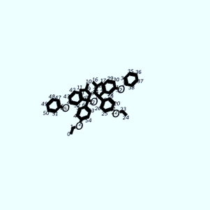 CCOc1ccc(C(CC(C)C)(OC(CC(C)C)(c2ccc(OCC)cc2)c2cccc(Oc3ccccc3)c2)c2cccc(Oc3ccccc3)c2)cc1